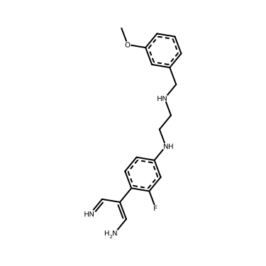 COc1cccc(CNCCNc2ccc(/C(C=N)=C/N)c(F)c2)c1